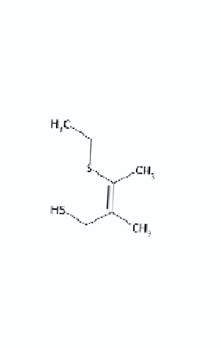 CCS/C(C)=C(/C)CS